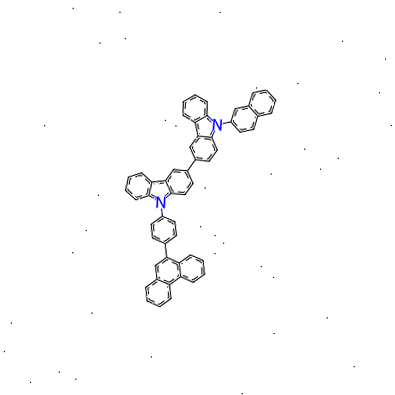 c1ccc2cc(-n3c4ccccc4c4cc(-c5ccc6c(c5)c5ccccc5n6-c5ccc(-c6cc7ccccc7c7ccccc67)cc5)ccc43)ccc2c1